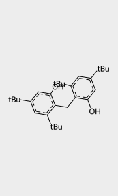 CC(C)(C)c1cc(O)c(Cc2c(O)cc(C(C)(C)C)cc2C(C)(C)C)c(C(C)(C)C)c1